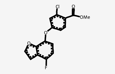 COC(=O)c1ccc(Oc2ccc(F)c3ccoc23)cc1Cl